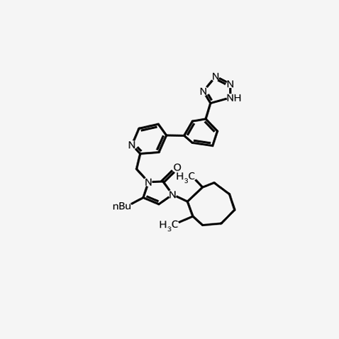 CCCCc1cn(C2C(C)CCCCCC2C)c(=O)n1Cc1cc(-c2cccc(-c3nnn[nH]3)c2)ccn1